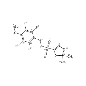 CCCCOc1c(F)c(F)c(OCS(=O)(=O)C2=NOC(C)(C)C2)c(F)c1F